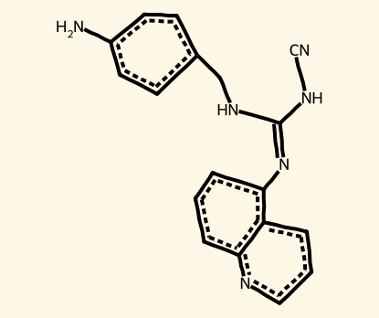 N#CN/C(=N/c1cccc2ncccc12)NCc1ccc(N)cc1